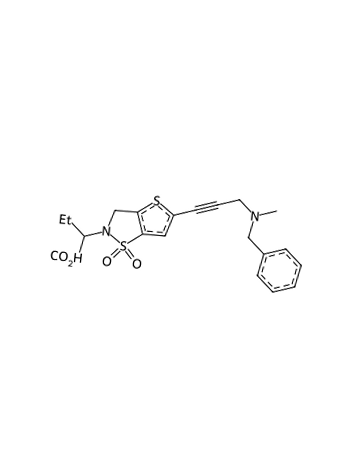 CCC(C(=O)O)N1Cc2sc(C#CCN(C)Cc3ccccc3)cc2S1(=O)=O